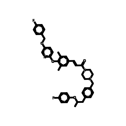 Cc1cc(C=CC(=O)N2CCN(Cc3ccc(CC(C)Oc4ccc(F)cc4)cc3)CC2)cc(C)c1Oc1ccc(OCc2ccc(F)cc2)cn1